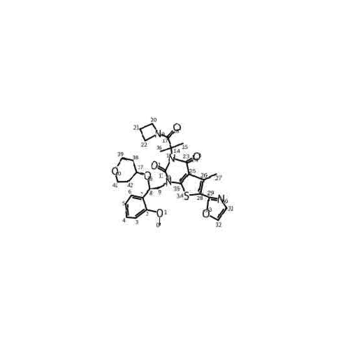 COc1ccccc1[C@H](Cn1c(=O)n(C(C)(C)C(=O)N2CCC2)c(=O)c2c(C)c(-c3ncco3)sc21)OC1CCOCC1